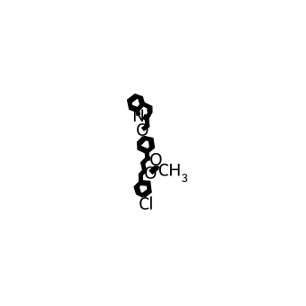 CC(=O)OC(CCCc1ccc(Cl)cc1)c1ccc(OCc2ccc3ccccc3n2)cc1